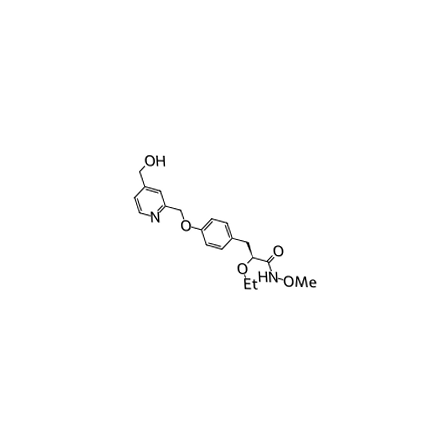 CCO[C@@H](Cc1ccc(OCc2cc(CO)ccn2)cc1)C(=O)NOC